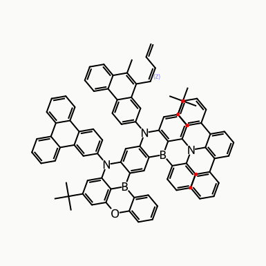 C=C/C=C\c1c(C)c2ccccc2c2ccc(N3c4cc5c(cc4B4c6ccccc6N(c6c(-c7ccccc7)cccc6-c6ccccc6)c6cc(C(C)(C)C)cc3c64)B3c4ccccc4Oc4cc(C(C)(C)C)cc(c43)N5c3ccc4c5ccccc5c5ccccc5c4c3)cc12